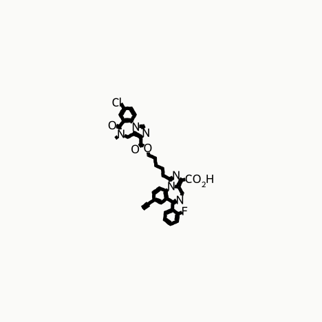 C#Cc1ccc2c(c1)C(c1ccccc1F)=NCc1c(C(=O)O)nc(CCCCCOC(=O)c3ncn4c3CN(C)C(=O)c3cc(Cl)ccc3-4)n1-2